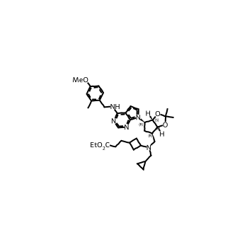 CCOC(=O)CCC1CC(N(CC2CC2)C[C@H]2C[C@@H](n3ccc4c(NCc5ccc(OC)cc5C)ncnc43)[C@@H]3OC(C)(C)O[C@H]23)C1